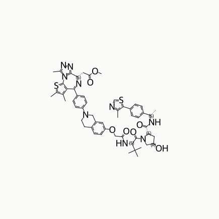 COC(=O)C[C@@H]1N=C(c2ccc(N3CCc4ccc(OCC(=O)N[C@H](C(=O)N5C[C@H](O)C[C@H]5C(=O)N[C@@H](C)c5ccc(-c6scnc6C)cc5)C(C)(C)C)cc4C3)cc2)c2c(sc(C)c2C)-n2c(C)nnc21